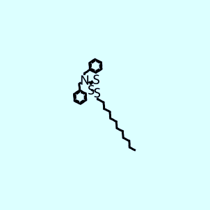 CCCCCCCCCCCCSSC(=S)N(Cc1ccccc1)Cc1ccccc1